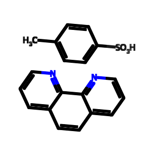 Cc1ccc(S(=O)(=O)O)cc1.c1cnc2c(c1)ccc1cccnc12